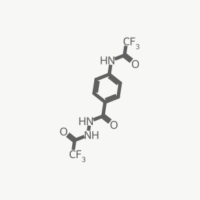 O=C(NNC(=O)C(F)(F)F)c1ccc(NC(=O)C(F)(F)F)cc1